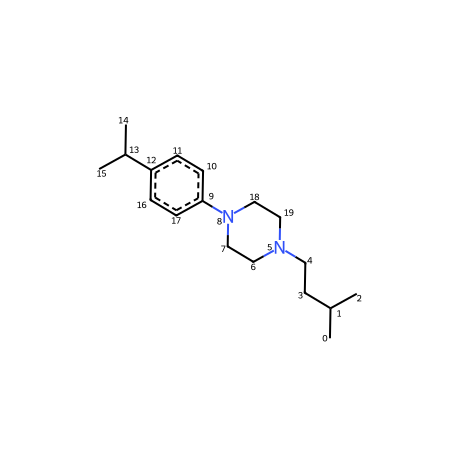 CC(C)CCN1CCN(c2ccc(C(C)C)cc2)CC1